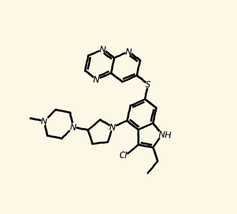 CCc1[nH]c2cc(Sc3cnc4nccnc4c3)cc(N3CCC(N4CCN(C)CC4)C3)c2c1Cl